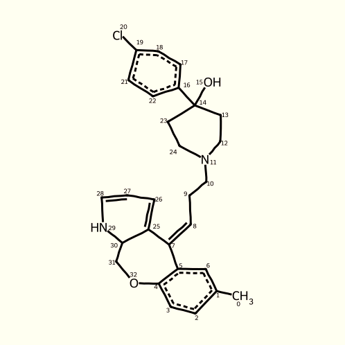 Cc1ccc2c(c1)/C(=C/CCN1CCC(O)(c3ccc(Cl)cc3)CC1)C1=CC=CNC1CO2